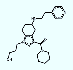 O=C(c1nn(CCCO)c2c1CC(NCCc1ccncc1)CC2)N1CCCCC1